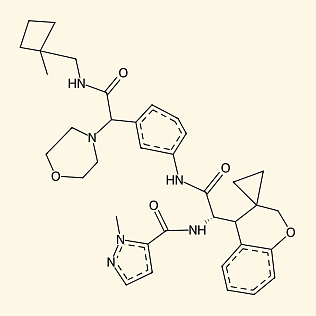 Cn1nccc1C(=O)N[C@H](C(=O)Nc1cccc(C(C(=O)NCC2(C)CCC2)N2CCOCC2)c1)C1c2ccccc2OCC12CC2